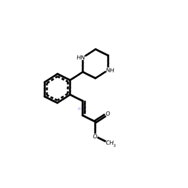 COC(=O)/C=C/c1ccccc1C1CNCCN1